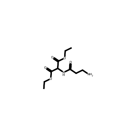 CCOC(=O)C(NC(=O)CCN)C(=O)OCC